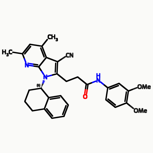 COc1ccc(NC(=O)CCc2c(C#N)c3c(C)cc(C)nc3n2[C@H]2CCCc3ccccc32)cc1OC